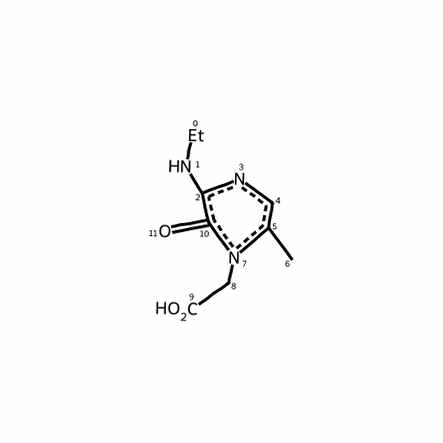 CCNc1ncc(C)n(CC(=O)O)c1=O